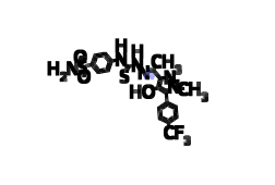 C/C(=N\NC(=S)Nc1ccc(S(N)(=O)=O)cc1)c1nn(C)c(-c2ccc(C(F)(F)F)cc2)c1O